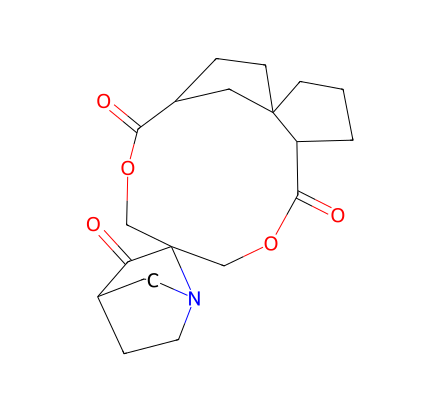 O=C1OCC2(COC(=O)C3CCCC34CCC1C4)C(=O)C1CCN2CC1